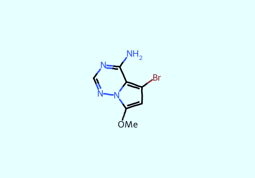 COc1cc(Br)c2c(N)ncnn12